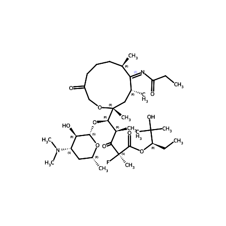 CCC(=O)/N=C1/[C@H](C)CCCC(=O)CO[C@@](C)([C@H](O[C@@H]2O[C@H](C)C[C@H](N(C)C)[C@H]2O)[C@@H](C)C(=O)[C@](C)(F)C(=O)O[C@H](CC)C(C)(C)O)C[C@H]1C